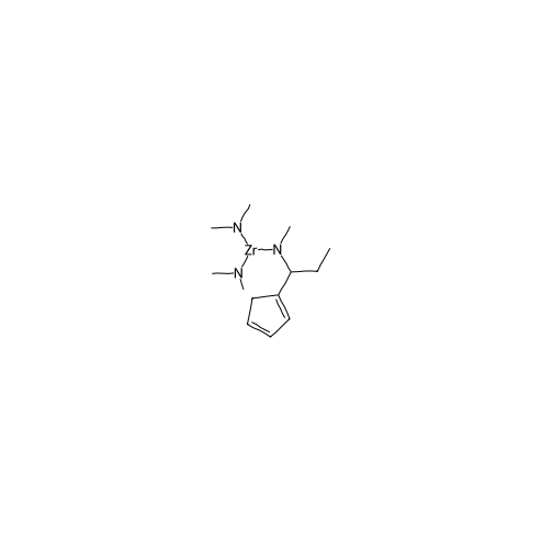 CCC(C1=CC=CC1)[N](C)[Zr]([N](C)C)[N](C)C